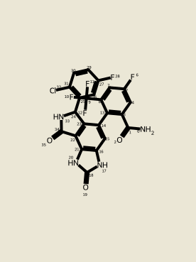 NC(=O)c1cc(F)cc(C(F)(F)F)c1-c1cc2[nH]c(=O)[nH]c2c2c1C(c1cc(F)ccc1Cl)NC2=O